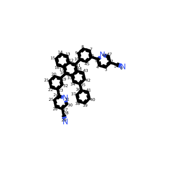 N#Cc1ccc(-c2cccc(-c3c4ccccc4c(-c4cccc(-c5ccc(C#N)cn5)c4)c4cc(-c5ccccc5)ccc34)c2)nc1